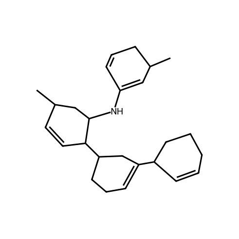 CC1C=C(NC2CC(C)C=CC2C2CCC=C(C3C=CCCC3)C2)C=CC1